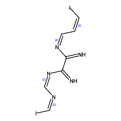 N=C(/N=C\C=C/I)C(=N)/N=C\N=C/I